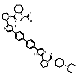 CCN(CC)[C@H]1CC[C@@H](C(=O)N2CCCC2c2ncc(-c3ccc(-c4ccc(-c5cnc(C6CCCN6C(=O)[C@H]6CCCC[C@H]6N(C)C(=O)O)[nH]5)cc4)cc3)[nH]2)CC1